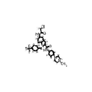 CN1CCN(c2ccc(NC(=O)c3cc4cc(NC(=O)CCl)ccc4n3Cc3ccc(C(F)(F)F)cc3)cc2)CC1